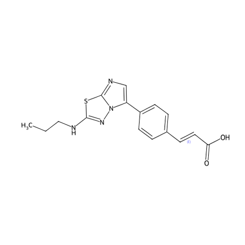 CCCNc1nn2c(-c3ccc(/C=C/C(=O)O)cc3)cnc2s1